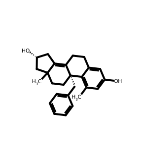 Cc1cc(O)cc2c1[C@@]1(Cc3ccccc3)CCC3(C)C[C@H](O)CC3=C1CC2